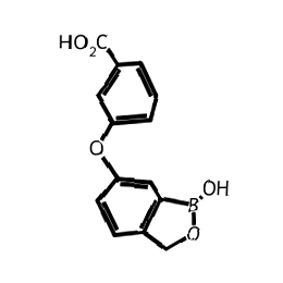 O=C(O)c1cccc(Oc2ccc3c(c2)B(O)OC3)c1